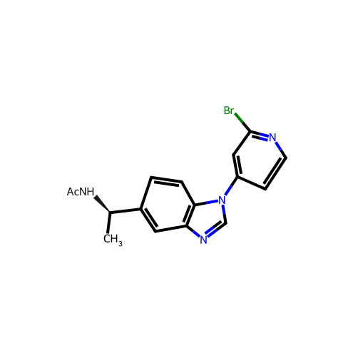 CC(=O)N[C@H](C)c1ccc2c(c1)ncn2-c1ccnc(Br)c1